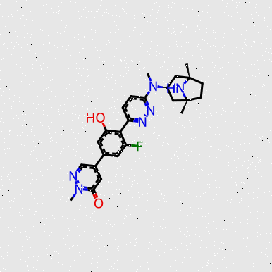 CN(c1ccc(-c2c(O)cc(-c3cnn(C)c(=O)c3)cc2F)nn1)[C@H]1C[C@]2(C)CC[C@](C)(C1)N2